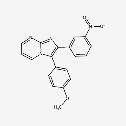 COc1ccc(-c2c(-c3cccc([N+](=O)[O-])c3)nc3ncccn23)cc1